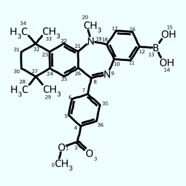 COC(=O)c1ccc(C2=Nc3cc(B(O)O)ccc3N(C)c3cc4c(cc32)C(C)(C)CCC4(C)C)cc1